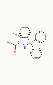 O=C(O)[C@H](CS)NC(c1ccccc1)(c1ccccc1)c1ccccc1